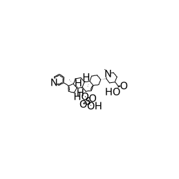 CN1CCC(C(=O)O)CC1[C@H]1CC[C@@]2(C)C(=CC[C@@H]3[C@@H]2CC[C@]2(C)C(c4cccnc4)=CC[C@@H]32)C1.O=S(=O)(O)O